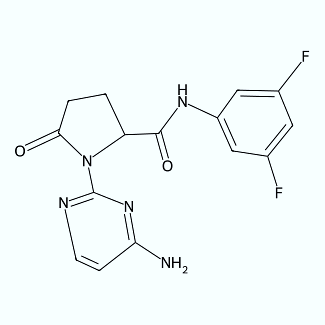 Nc1ccnc(N2C(=O)CCC2C(=O)Nc2cc(F)cc(F)c2)n1